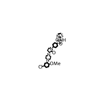 COc1ccc(Cl)cc1N1CCN([C@H]2CCN(c3ccc(S(=O)(=O)Nc4nccs4)cc3)C2=O)CC1